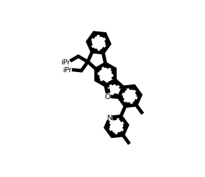 Cc1ccnc(-c2c(C)ccc3c2oc2cc4c(cc23)-c2ccccc2C4(CC(C)C)CC(C)C)c1